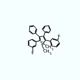 CC[Si]1(C)C(c2cccc(F)c2)=C(c2ccccc2)C(c2ccccc2)=C1c1cccc(F)c1